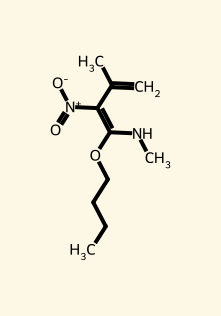 C=C(C)/C(=C(\NC)OCCCC)[N+](=O)[O-]